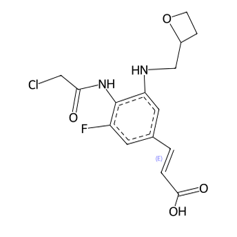 O=C(O)/C=C/c1cc(F)c(NC(=O)CCl)c(NCC2CCO2)c1